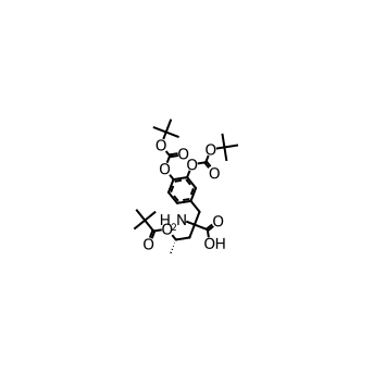 C[C@@H](CC(N)(Cc1ccc(OC(=O)OC(C)(C)C)c(OC(=O)OC(C)(C)C)c1)C(=O)O)OC(=O)C(C)(C)C